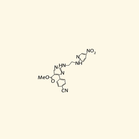 COC(=O)c1cnc(NCCNc2ccc([N+](=O)[O-])cn2)nc1-c1ccc(C#N)cc1